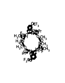 CC(C)C[C@H]1C(=O)O[C@H](C)C(=O)N(C)[C@@H](CC(C)(C)F)C(=O)O[C@H](Cc2ccc(OC(F)(F)F)cc2)C(=O)N(C)[C@@H](CC(C)C)C(=O)O[C@H](C)C(=O)N(C)[C@H](CC(C)(C)F)C(=O)O[C@H](Cc2ccc(OC(F)(F)F)cc2)C(=O)N1C